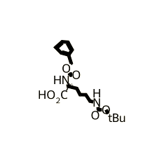 CC(C)(C)OC(=O)NCCCC[C@@H](NC(=O)OCc1ccccc1)C(=O)O